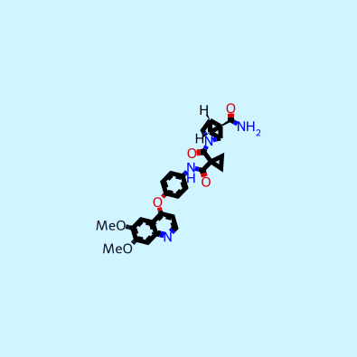 COc1cc2nccc(Oc3ccc(NC(=O)C4(C(=O)N5C[C@@H]6[C@@H]7C5[C@@]67C(N)=O)CC4)cc3)c2cc1OC